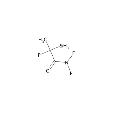 CC(F)([SiH3])C(=O)N(F)F